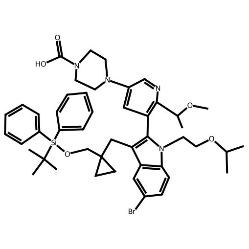 COC(C)c1ncc(N2CCN(C(=O)O)CC2)cc1-c1c(CC2(CO[Si](c3ccccc3)(c3ccccc3)C(C)(C)C)CC2)c2cc(Br)ccc2n1CCOC(C)C